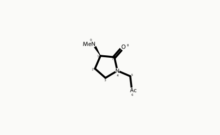 CN[C@@H]1CCN(CC(C)=O)C1=O